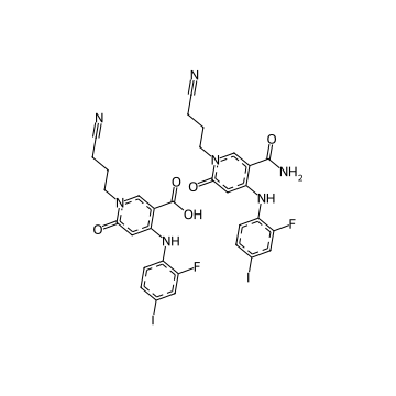 N#CCCCn1cc(C(=O)O)c(Nc2ccc(I)cc2F)cc1=O.N#CCCCn1cc(C(N)=O)c(Nc2ccc(I)cc2F)cc1=O